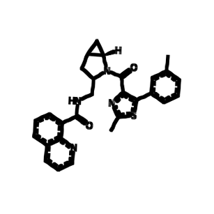 Cc1cccc(-c2sc(C)nc2C(=O)N2C(CNC(=O)c3cccc4cccnc34)CC3C[C@@H]32)c1